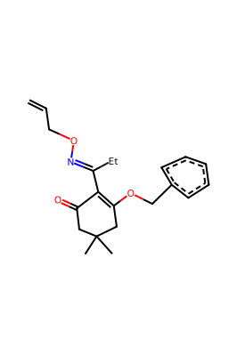 C=CCON=C(CC)C1=C(OCc2ccccc2)CC(C)(C)CC1=O